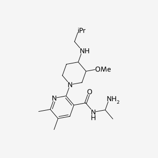 COC1CN(c2nc(C)c(C)cc2C(=O)NC(C)N)CCC1NCC(C)C